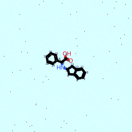 O=C(O)C(NC1Cc2ccccc2C1)c1ccccc1